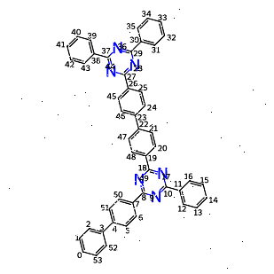 c1ccc(-c2ccc(-c3nc(-c4ccccc4)nc(-c4ccc(-c5ccc(-c6nc(-c7ccccc7)nc(-c7ccccc7)n6)cc5)cc4)n3)cc2)cc1